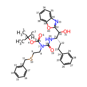 CC(C)(C)OC(=O)N(CCSCc1ccccc1)C(=O)N[C@@H](CCc1ccccc1)C(O)c1nc2ccccc2o1